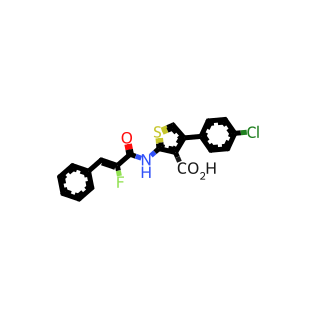 O=C(Nc1scc(-c2ccc(Cl)cc2)c1C(=O)O)/C(F)=C/c1ccccc1